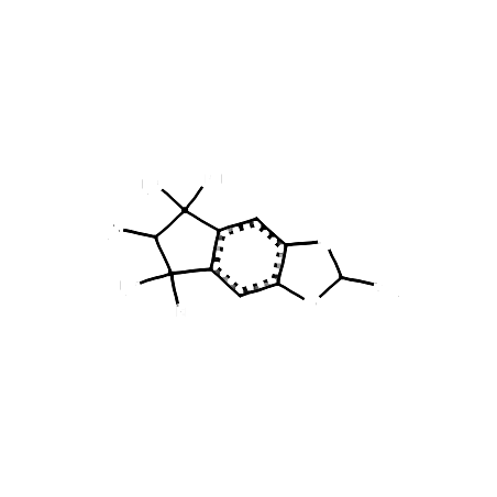 BC1Oc2cc3c(cc2O1)C(B)(B)C(N)C3(B)B